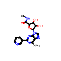 CCNC(=O)C1OC(n2cnc3c(NC)nc(-c4cccnc4)nc32)C(O)C1O